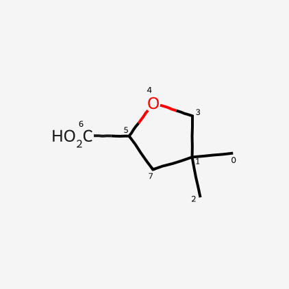 CC1(C)COC(C(=O)O)C1